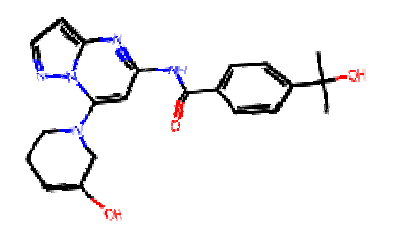 CC(C)(O)c1ccc(C(=O)Nc2cc(N3CCCC(O)C3)n3nccc3n2)cc1